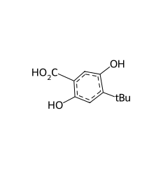 CC(C)(C)c1cc(O)c(C(=O)O)cc1O